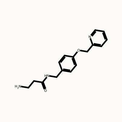 NCCC(=O)NCc1ccc(OCc2ccccn2)cc1